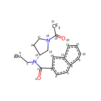 CCC(C)CN(C(=O)c1ccc2ccccc2c1)[C@@H]1CCN(C(=O)C(F)(F)F)C1